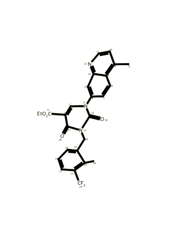 CCOC(=O)c1cn(-c2ccc3c(C)ccnc3c2)c(=O)n(Cc2cccc(C(F)(F)F)c2C)c1=O